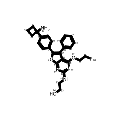 NC1(c2ccc(-c3oc4nc(NCCO)nc(OCCF)c4c3-c3ccccc3)cc2)CCC1